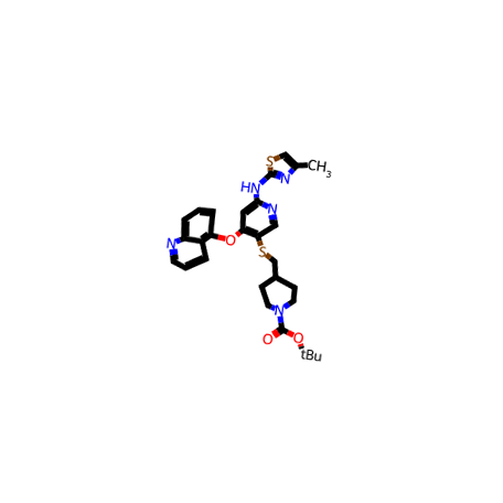 Cc1csc(Nc2cc(Oc3cccc4ncccc34)c(SCC3CCN(C(=O)OC(C)(C)C)CC3)cn2)n1